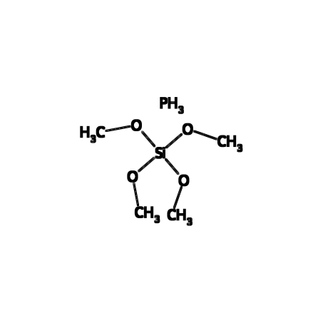 CO[Si](OC)(OC)OC.P